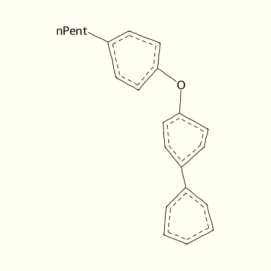 [CH2]CCCCc1ccc(Oc2ccc(-c3ccccc3)cc2)cc1